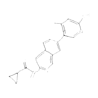 Cc1cc(O)ncc1-c1ccc2cc(NC(=O)C3CC3)ncc2c1